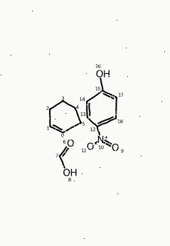 C1=CCCCC1.O=CO.O=[N+]([O-])c1ccc(O)cc1